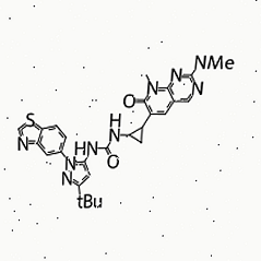 CNc1ncc2cc(C3CC3NC(=O)Nc3cc(C(C)(C)C)nn3-c3ccc4scnc4c3)c(=O)n(C)c2n1